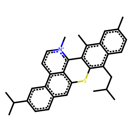 Cc1ccc2c(CC(C)C)c3c(c(C)c2c1)-c1c2c(cc4ccc(C(C)C)cc4c2cc[n+]1C)S3